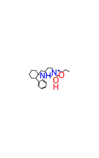 CCCC[N+]1(C(=O)O)CCC(CC23CCCCC2c2ccccc2N3)CC1